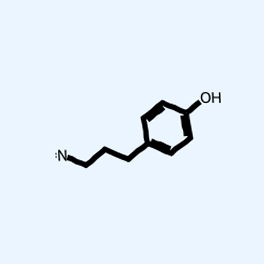 [N]CCCc1ccc(O)cc1